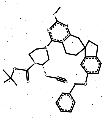 CSc1nc2c(c(N3CCN(C(=O)OC(C)(C)C)[C@@H](CC#N)C3)n1)CCC1(CCc3ccc(OCc4ccccc4)cc31)C2